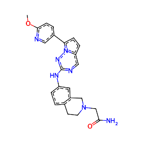 COc1ccc(-c2ccc3cnc(Nc4ccc5c(c4)CN(CC(N)=O)CC5)nn23)cn1